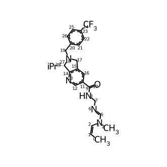 C/C=C\N(C)/C=N/CNC(=O)c1cnc2c(c1)CN(Cc1ccc(C(F)(F)F)cc1)[C@H]2C(C)C